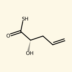 C=CC[C@H](O)C(=O)S